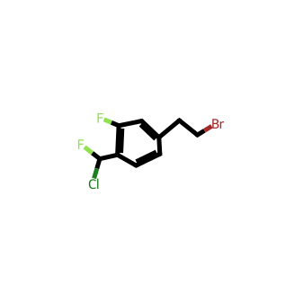 Fc1cc(CCBr)ccc1C(F)Cl